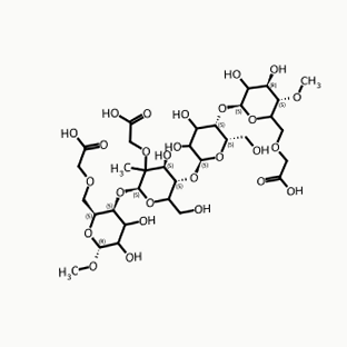 CO[C@@H]1O[C@@H](COCC(=O)O)[C@@H](O[C@@H]2OC(CO)[C@@H](O[C@@H]3O[C@@H](CO)[C@@H](O[C@@H]4OC(COCC(=O)O)[C@@H](OC)[C@H](O)C4O)C(O)C3O)[C@H](O)C2(C)OCC(=O)O)C(O)C1O